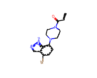 C=CC(=O)N1CCN(c2ccc(Br)c3cn[nH]c23)CC1